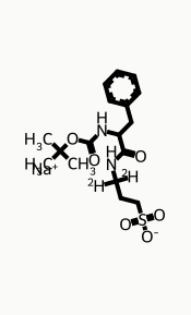 [2H]C([2H])(CCS(=O)(=O)[O-])NC(=O)C(Cc1ccccc1)NC(=O)OC(C)(C)C.[Na+]